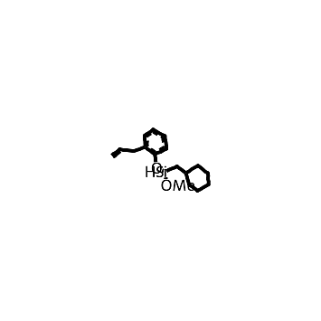 C=CCc1ccccc1O[SiH](CC1CCCCC1)OC